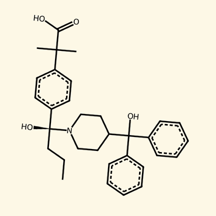 CCC[C@](O)(c1ccc(C(C)(C)C(=O)O)cc1)N1CCC(C(O)(c2ccccc2)c2ccccc2)CC1